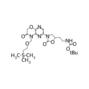 CC(C)(C)OC(=O)NCCC1CN(c2cnc3c(n2)N(COCCS(C)(C)C)C(=O)CO3)C(=O)O1